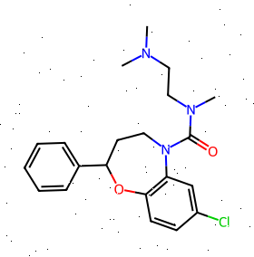 CN(C)CCN(C)C(=O)N1CCC(c2ccccc2)Oc2ccc(Cl)cc21